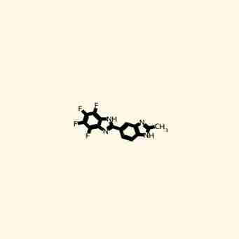 Cc1nc2[c]c(-c3nc4c(F)c(F)c(F)c(F)c4[nH]3)ccc2[nH]1